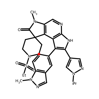 CCS(=O)(=O)N1CCC2(CC1)C(=O)N(C)c1cnc3[nH]c(-c4cnn(C(C)C)c4)c(-c4ccc5c(cnn5C)c4)c3c12